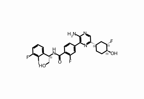 Nc1ncc([C@H]2CC[C@H](O)[C@@H](F)C2)nc1-c1ccc(C(=O)N[C@H](CO)c2cccc(F)c2I)c(F)c1